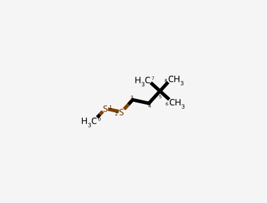 CSSCCC(C)(C)C